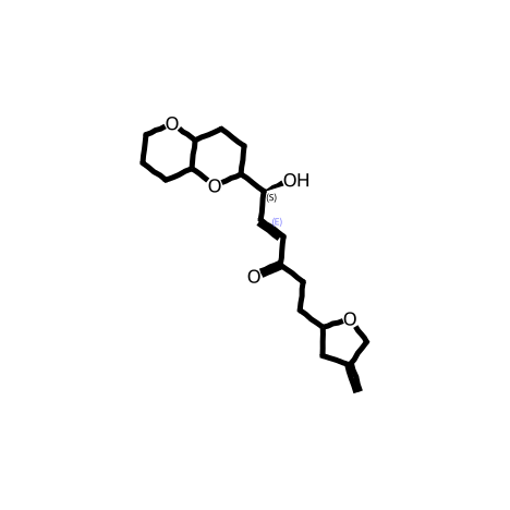 C=C1COC(CCC(=O)/C=C/[C@H](O)C2CCC3OCCCC3O2)C1